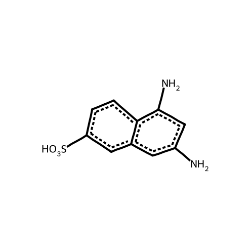 Nc1cc(N)c2ccc(S(=O)(=O)O)cc2c1